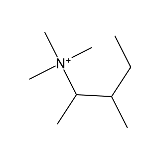 CCC(C)C(C)[N+](C)(C)C